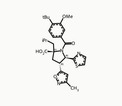 COc1cc(C(=O)N2[C@@H](c3nccs3)[C@H](c3cc(C)no3)C[C@@]2(CC(C)C)C(=O)O)ccc1C(C)(C)C